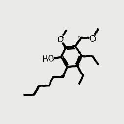 CCCCCCc1c(O)c(OC)c([C]OC)c(CC)c1CC